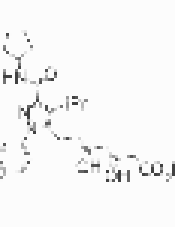 CC(C)c1c(C(=O)NC2CCCC2)nn(-c2ccc(F)cc2)c1CC[C@@H](O)C[C@@H](O)CC(=O)O